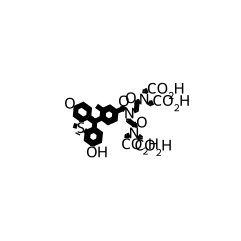 Cc1cc(C(=O)N(CC(=O)N(CC(=O)O)CC(=O)O)CC(=O)N(CC(=O)O)CC(=O)O)ccc1C1=C2C=CC(=O)C=C2S(C)(C)c2cc(O)ccc21